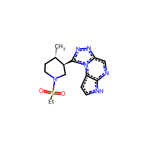 CCS(=O)(=O)N1CC[C@H](C)[C@@H](c2nnc3cnc4[nH]ccc4n23)C1